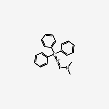 CN(C)P=[N+]=P(c1ccccc1)(c1ccccc1)c1ccccc1